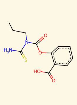 CCCN(C(=O)Oc1ccccc1C(=O)O)C(N)=S